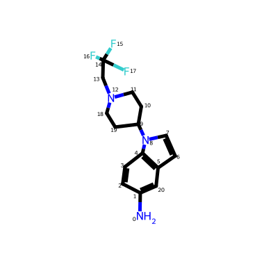 Nc1ccc2c(ccn2C2CCN(CC(F)(F)F)CC2)c1